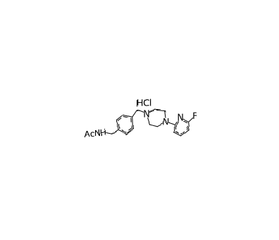 CC(=O)NCc1ccc(CN2CCN(c3cccc(F)n3)CC2)cc1.Cl